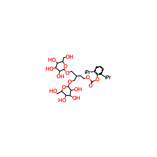 CC(C)c1cccc(C(C)C)c1OC(=O)OCCC(COC1OC(CO)C(O)C(O)C1O)COC1OC(CO)C(O)C(O)C1O